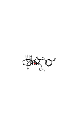 N#CN1C[C@H]2CC[C@@H](C1)[C@H]2Nc1nc(Oc2cccc(F)c2)n(CC(F)(F)F)n1